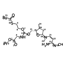 CC(C)OC(=O)CN[P@](OCCSC(=O)C(C)(C)C)OC[C@H]1OC(N(C)/C=C\C(N)=N/C=O)CC1C